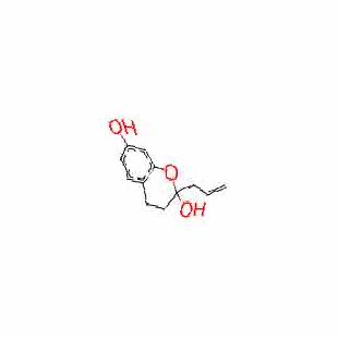 C=CCC1(O)CCc2ccc(O)cc2O1